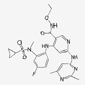 CCONC(=O)c1cnc(Nc2cc(C)nc(C)n2)cc1Nc1ccc(F)cc1N(C)S(=O)(=O)C1CC1